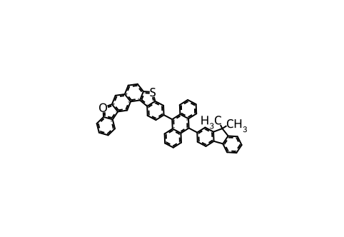 CC1(C)c2ccccc2-c2ccc(-c3c4ccccc4c(-c4ccc5c(c4)sc4ccc6cc7oc8ccccc8c7cc6c45)c4ccccc34)cc21